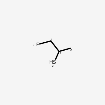 CC(S)CF